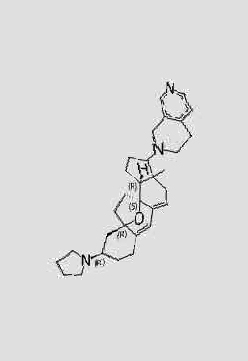 CC12CC=C3C=C4CC[C@@H](N5CCCC5)C[C@]45CC[C@]3(O5)[C@@H]1CCC2N1CCc2ccncc2C1